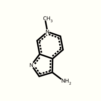 Cn1ccc2c(N)cnc-2c1